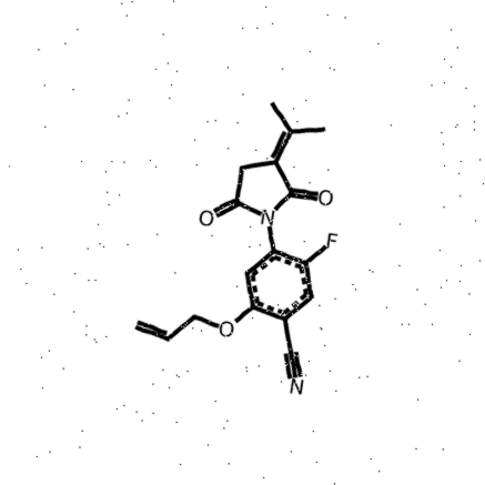 C=CCOc1cc(N2C(=O)CC(=C(C)C)C2=O)c(F)cc1C#N